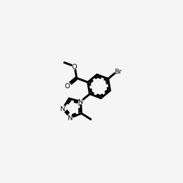 COC(=O)c1cc(Br)ccc1-n1cnnc1C